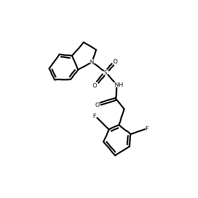 O=C(Cc1c(F)cccc1F)NS(=O)(=O)N1CCc2ccccc21